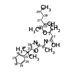 C=C(/C=C(O)\N=C(/C)c1ncc(C(C)(C)c2ccccc2)o1)O[C@@H](C)C(=C)CCCC